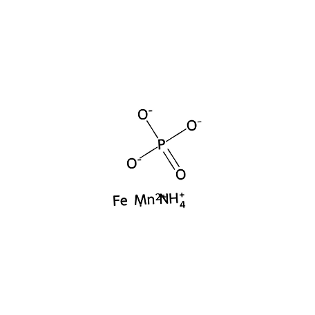 O=P([O-])([O-])[O-].[Fe].[Mn+2].[NH4+]